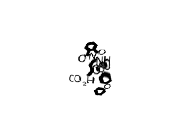 O=C(O)CCCC(NS(=O)(=O)c1ccc(Oc2ccccc2)cc1)N1C(=O)c2ccccc2C1=O